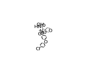 CN(C(C(=O)NO)C1CCOCC1)S(=O)(=O)c1ccc(Oc2ccc(Cl)cc2)cc1